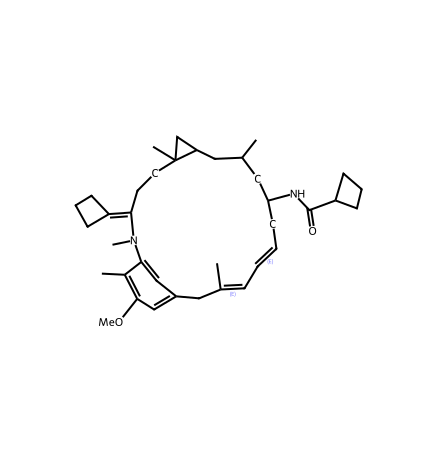 COc1cc2cc(c1C)N(C)C(=C1CCC1)CCC1(C)CC1CC(C)CC(NC(=O)C1CCC1)C/C=C/C=C(\C)C2